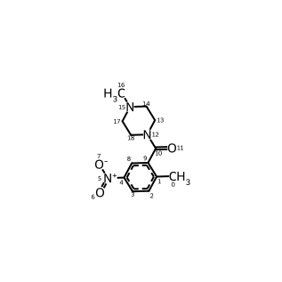 Cc1ccc([N+](=O)[O-])cc1C(=O)N1CCN(C)CC1